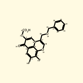 O=C(O)Oc1cn2c3c(c(F)c(F)cc3c1=O)OC=C2COCc1ccccc1